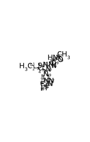 CCCc1cc2c(N3CCn4c(nnc4C(F)(F)F)C3)nc(-n3cc(NC(C)=O)cn3)nc2s1